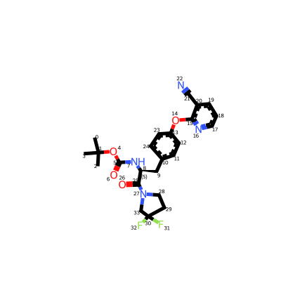 CC(C)(C)OC(=O)N[C@@H](Cc1ccc(Oc2ncccc2C#N)cc1)C(=O)N1CCC(F)(F)C1